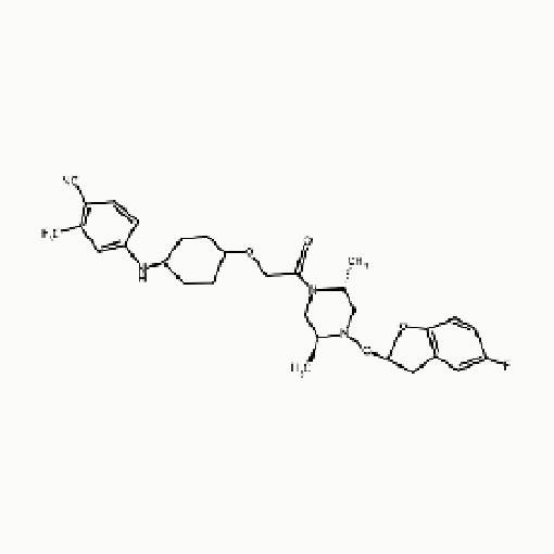 C[C@@H]1CN(CC2Cc3cc(F)ccc3O2)[C@@H](C)CN1C(=O)COC1CCC(Nc2ccc(C#N)c(C(F)(F)F)c2)CC1